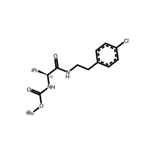 CCC(C)OC(=O)N[C@H](C(=O)NCCc1ccc(Cl)cc1)C(C)C